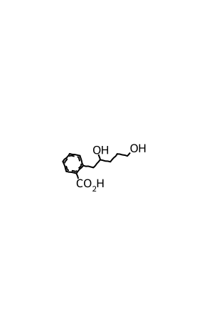 O=C(O)c1ccccc1CC(O)CCCO